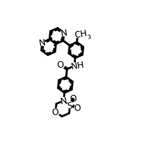 Cc1ccc(NC(=O)c2ccc(N3COCCS3(=O)=O)cc2)cc1-c1nccc2ncccc12